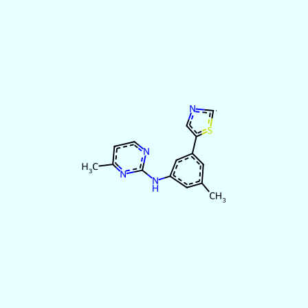 Cc1cc(Nc2nccc(C)n2)cc(-c2cn[c]s2)c1